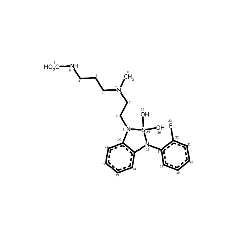 CN(CCCNC(=O)O)CCN1c2ccccc2N(c2ccccc2F)S1(O)O